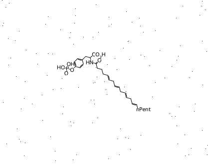 CCCCC/C=C/C/C=C/C/C=C/C/C=C/CCCC(=O)N[C@@H](Cc1ccc(OP(=O)(O)O)cc1)C(=O)O